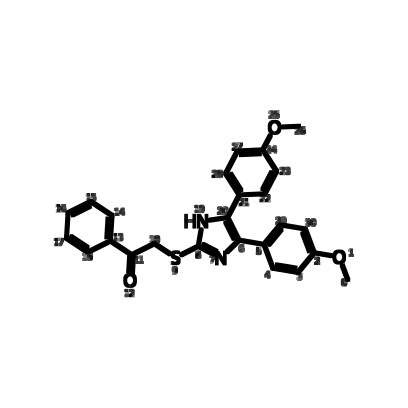 COc1ccc(-c2nc(SCC(=O)c3ccccc3)[nH]c2-c2ccc(OC)cc2)cc1